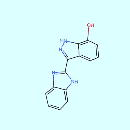 Oc1cccc2c(-c3nc4ccccc4[nH]3)n[nH]c12